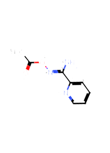 CC(=O)ON=C(N)c1ccccn1